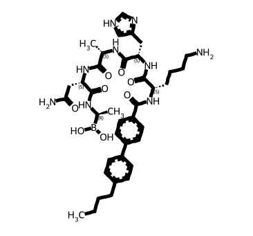 CCCCc1ccc(-c2ccc(C(=O)N[C@@H](CCCCN)C(=O)N[C@@H](Cc3c[nH]cn3)C(=O)N[C@@H](C)C(=O)N[C@@H](CC(N)=O)C(=O)N[C@@H](C)B(O)O)cc2)cc1